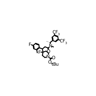 Cc1cc(F)ccc1C(CC(=O)N(C)[C@H](C)c1cc(C(F)(F)F)cc(C(F)(F)F)c1)C1(F)CCN(C(=O)OC(C)(C)C)CC1